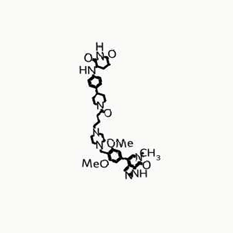 COc1cc(-c2cn(C)c(=O)c3[nH]ncc23)cc(OC)c1CN1CCN(CCCC(=O)N2CCC(c3ccc(NC4CCC(=O)NC4=O)cc3)CC2)CC1